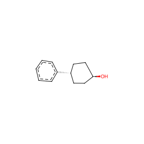 O[C@H]1CC[C@H](c2ccccc2)CC1